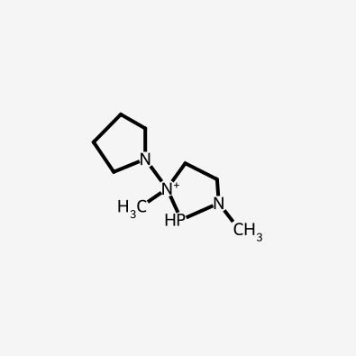 CN1CC[N+](C)(N2CCCC2)P1